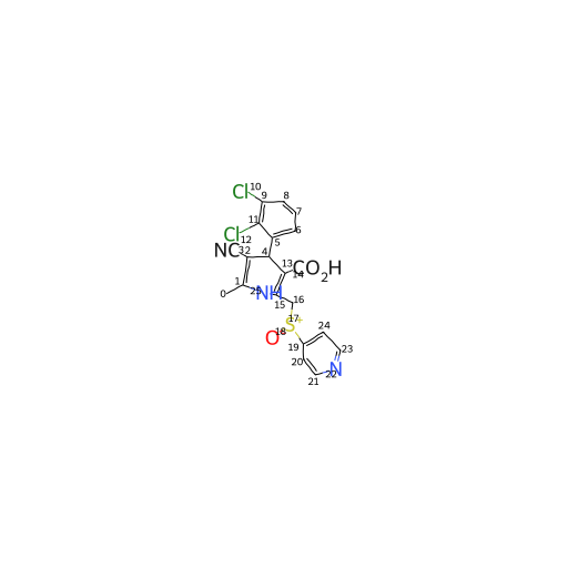 CC1=C(C#N)C(c2cccc(Cl)c2Cl)C(C(=O)O)=C(C[S+]([O-])c2ccncc2)N1